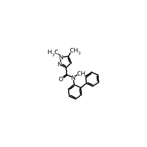 Cc1cc(C(=O)N(C)c2ccccc2-c2ccccc2)nn1C